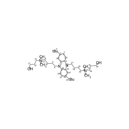 CC(C)(C)c1ccc2c(c1)N(CCCC[N+](C)(C)CCCO)c1ccc(C(C)(C)C)cc1N2CCCC[N+](C)(C)CCCO